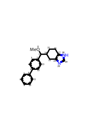 COC(c1ccc(-c2ccccc2)cc1)C1CCc2[nH]cnc2C1